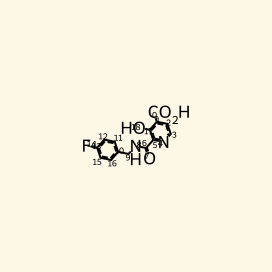 O=C(O)c1ccnc(C(=O)NCc2ccc(F)cc2)c1O